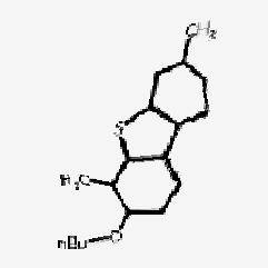 CCCCOC1CCC2C3CCC(C)CC3SC2C1C